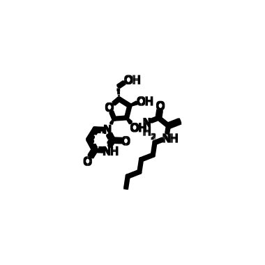 C=C(NCCCCCC)C(N)=O.O=c1ccn([C@@H]2O[C@H](CO)[C@@H](O)[C@H]2O)c(=O)[nH]1